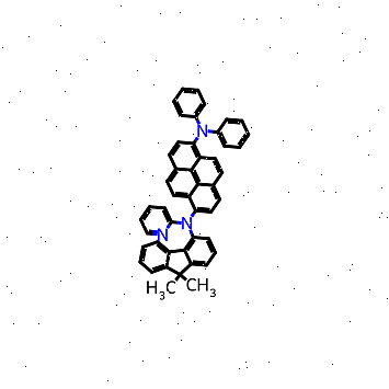 CC1(C)c2ccccc2-c2c(N(c3ccccn3)c3ccc4ccc5c(N(c6ccccc6)c6ccccc6)ccc6ccc3c4c65)cccc21